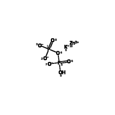 O=P([O-])([O-])OP(=O)([O-])O.[K+].[Zn+2]